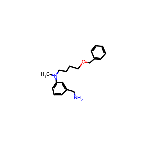 CN(CCCCOCc1ccccc1)c1cccc(CN)c1